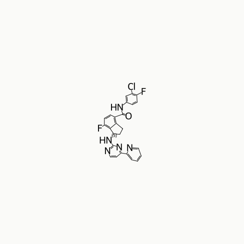 O=C(Nc1ccc(F)c(Cl)c1)c1ccc(F)c2c1CC[C@@H]2Nc1nccc(-c2ccccn2)n1